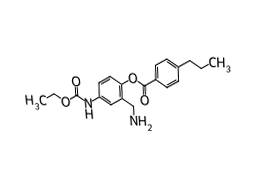 CCCc1ccc(C(=O)Oc2ccc(NC(=O)OCC)cc2CN)cc1